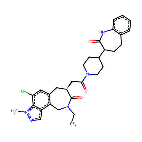 Cn1ncc2c3c(cc(Cl)c21)C[C@@H](CC(=O)N1CCC(C2CCc4ccccc4NC2=O)CC1)C(=O)N(CC(F)(F)F)C3